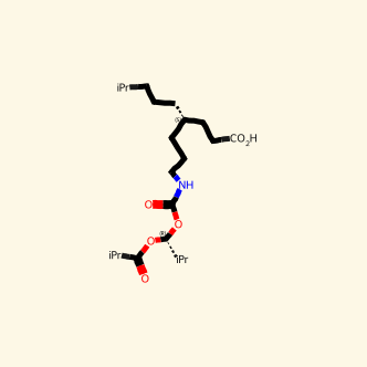 CC(C)CCC[C@@H](CCCNC(=O)O[C@@H](OC(=O)C(C)C)C(C)C)CCC(=O)O